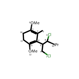 COC1=C(C)C(C(CCl)C(Cl)C(C)C)=C(OC)CC1